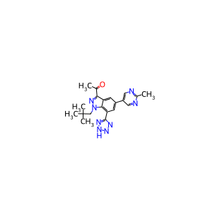 CC(=O)c1nn(CC(C)(C)C)c2c(-c3nn[nH]n3)cc(-c3cnc(C)nc3)cc12